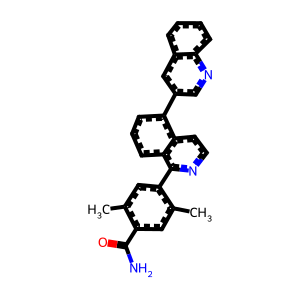 Cc1cc(-c2nccc3c(-c4cnc5ccccc5c4)cccc23)c(C)cc1C(N)=O